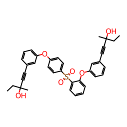 CCC(C)(O)C#Cc1cccc(Oc2ccc(S(=O)(=O)c3ccccc3Oc3cccc(C#CC(C)(O)CC)c3)cc2)c1